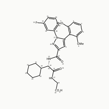 COc1cccc(OC)c1-c1cc(C(=O)N[C@H](C(=O)NCC(=O)O)C2CCCCC2)nn1-c1cccc(F)c1